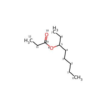 CCCCCC(CC)OC(=O)CC